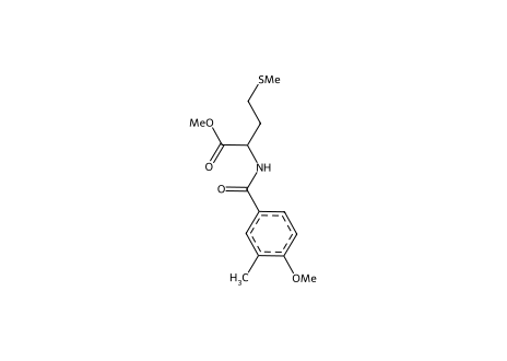 COC(=O)C(CCSC)NC(=O)c1ccc(OC)c(C)c1